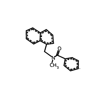 CN(Cc1cccc2ccccc12)C(=O)c1cc[c]cc1